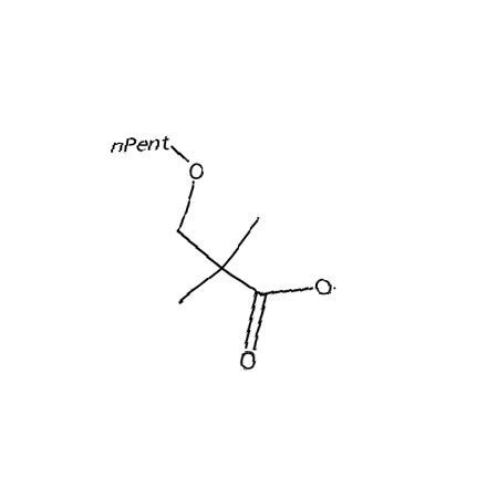 CCCCCOCC(C)(C)C([O])=O